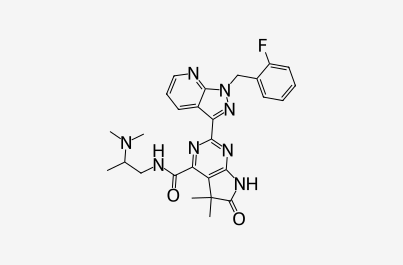 CC(CNC(=O)c1nc(-c2nn(Cc3ccccc3F)c3ncccc23)nc2c1C(C)(C)C(=O)N2)N(C)C